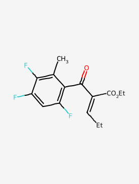 CCC=C(C(=O)OCC)C(=O)c1c(F)cc(F)c(F)c1C